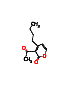 CCCCc1ccoc(=O)c1C(C)=O